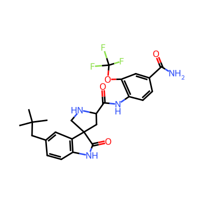 CC(C)(C)Cc1ccc2c(c1)C1(CNC(C(=O)Nc3ccc(C(N)=O)cc3OC(F)(F)F)C1)C(=O)N2